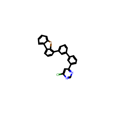 Clc1cc(-c2cccc(-c3cccc(-c4cccc5c4sc4ccccc45)c3)c2)ncn1